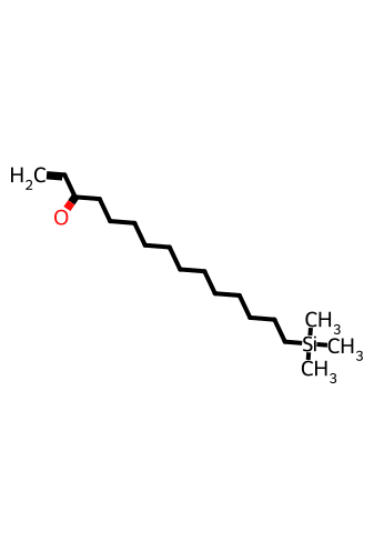 C=CC(=O)CCCCCCCCCCCC[Si](C)(C)C